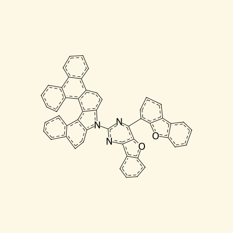 c1ccc2c(c1)ccc1c2c2c3c4ccccc4c4ccccc4c3ccc2n1-c1nc(-c2cccc3c2oc2ccccc23)c2oc3ccccc3c2n1